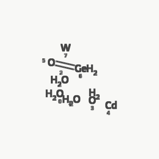 O.O.O.O.[Cd].[O]=[GeH2].[W]